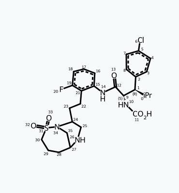 CC(C)[C@H](c1ccc(Cl)cc1)[C@H](NC(=O)O)C(=O)Nc1cccc(F)c1CCC1CNC2CCCS(=O)(=O)N1C2